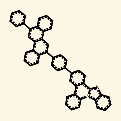 c1ccc(-c2cc3c4ccccc4c(-c4ccc(-c5ccc6c(c5)c5ccccc5n5c7ccccc7nc65)cc4)cc3c3ccccc23)cc1